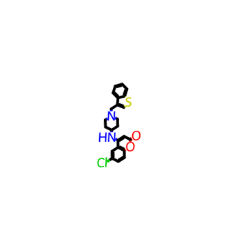 O=c1cc(NC2CCN(Cc3csc4ccccc34)CC2)c2cc(Cl)ccc2o1